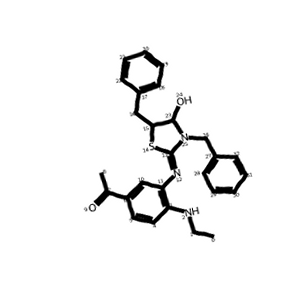 CCNc1ccc(C(C)=O)cc1/N=C1\SC(Cc2ccccc2)C(O)N1Cc1ccccc1